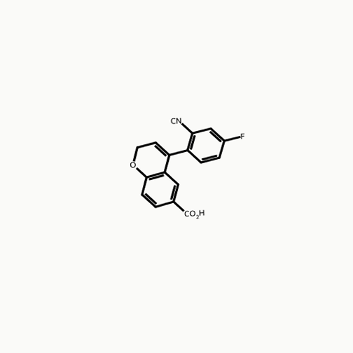 [C-]#[N+]c1cc(F)ccc1C1=CCOc2ccc(C(=O)O)cc21